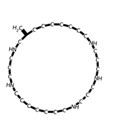 C=C1CCCCCCCNCCCNCCCNCCCCCCCNCCCNC1